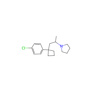 CC(CC1(c2ccc(Cl)cc2)CCC1)N1CCCC1